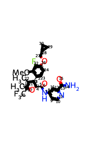 COc1c([C@@H]2[C@@H](C(=O)Nc3ccnc(C(N)=O)c3)O[C@@](C)(C(F)(F)F)[C@H]2C)ccc(OCC2CC2)c1F